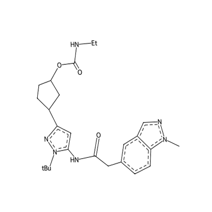 CCNC(=O)OC1CCC(c2cc(NC(=O)Cc3ccc4c(cnn4C)c3)n(C(C)(C)C)n2)C1